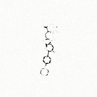 CS(=O)(=O)NC(Cc1nc2nc(-c3ccc(N4CCOCC4)cc3)c(Cl)cc2[nH]1)C(=O)O